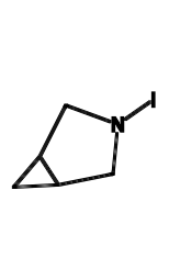 IN1CC2CC2C1